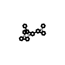 c1ccc(-c2ccc3c(c2)c2cc(-c4ccc5c(c4)c4ccccc4n5-c4ccccc4)ccc2n3-c2cccc3c4ccccc4n(-c4ccccc4)c23)cc1